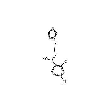 OC(CCCn1ccnc1)c1ccc(Cl)cc1Cl